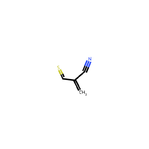 C=C(C#N)C=S